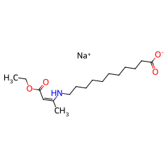 CCOC(=O)C=C(C)NCCCCCCCCCCC(=O)[O-].[Na+]